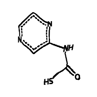 O=C(S)Nc1cnccn1